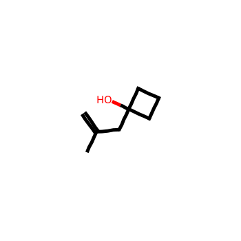 C=C(C)CC1(O)CCC1